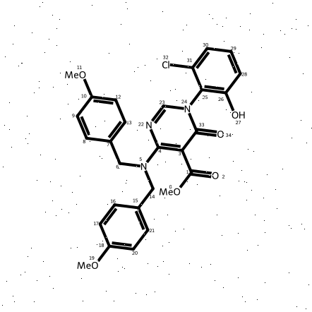 COC(=O)c1c(N(Cc2ccc(OC)cc2)Cc2ccc(OC)cc2)ncn(-c2c(O)cccc2Cl)c1=O